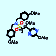 COc1ccc(CN(Cc2ccc(OC)cc2)S(=O)(=O)[C@H](C)[C@H](OC)c2cnc(OC)cn2)cc1